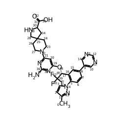 Cc1ccn(-c2ccc(-c3cncnc3)cc2[C@@H](Oc2cc(N3CCC4(CC3)CNC(C(=O)O)C4)nc(N)n2)C(F)(F)F)n1